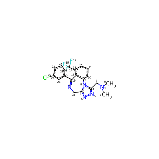 CN(C)Cc1nnc2n1-c1cccc(C(F)(F)F)c1C(c1cccc(Cl)c1)=NC2